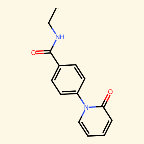 [CH2]CNC(=O)c1ccc(-n2ccccc2=O)cc1